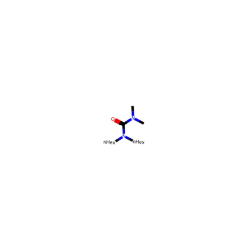 CCCCCCN(CCCCCC)C(=O)N(C)C